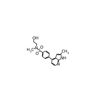 Cc1cc2c(-c3ccc(S(=O)(=O)N(C)CCO)cc3)ccnc2[nH]1